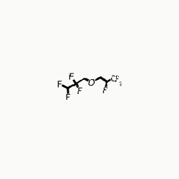 FC(COCC(F)(F)C(F)F)C(F)(F)F